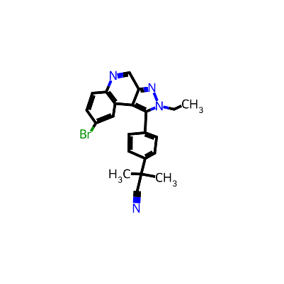 CCn1nc2cnc3ccc(Br)cc3c2c1-c1ccc(C(C)(C)C#N)cc1